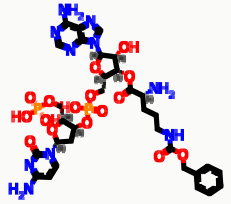 Nc1ccn([C@H]2C[C@H](OP(=O)(O)OC[C@@H]3O[C@@H](n4cnc5c(N)ncnc54)[C@H](O)[C@@H]3OC(=O)[C@H](N)CCCNC(=O)OCc3ccccc3)[C@@H](COP(=O)(O)O)O2)c(=O)n1